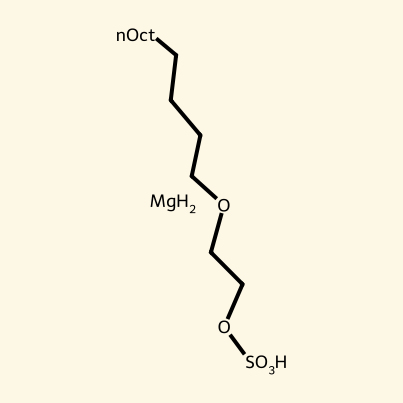 CCCCCCCCCCCCOCCOS(=O)(=O)O.[MgH2]